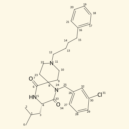 CC(C)C[C@@H]1NC(=O)C2(CCN(CCCCc3ccccc3)CC2)N(Cc2cccc(Cl)c2)C1=O